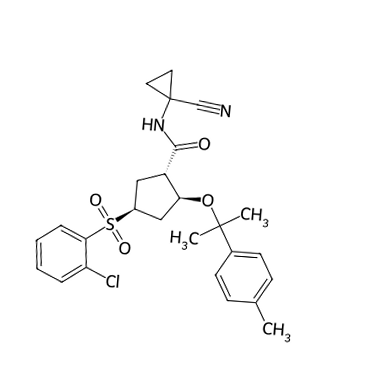 Cc1ccc(C(C)(C)O[C@H]2C[C@@H](S(=O)(=O)c3ccccc3Cl)C[C@@H]2C(=O)NC2(C#N)CC2)cc1